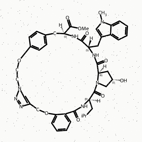 COC(=O)[C@@H]1Cc2ccc(cc2)OCCn2cc(nn2)COc2ccccc2C(=O)N[C@H](CC(C)C)C(=O)N2C[C@@H](O)C[C@@H]2C(=O)N[C@@H](Cc2cn(C)c3ccccc23)C(=O)N1